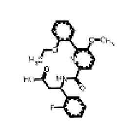 CCOc1ccccc1-c1nc(C(=O)NC(CC(=O)O)c2ccccc2F)ccc1OC